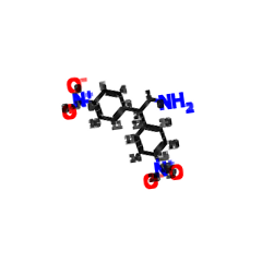 NCC(c1ccc([N+](=O)[O-])cc1)c1ccc([N+](=O)[O-])cc1